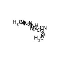 CN1CCN(c2ccc(Nc3nccc(-c4ccc(OC5CCN(C)C5)c(C#N)c4)n3)nc2)CC1